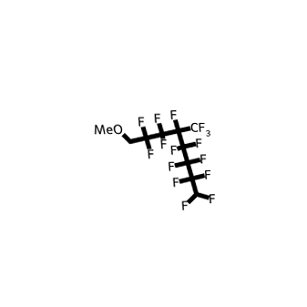 COCC(F)(F)C(F)(F)C(F)(C(F)(F)F)C(F)(F)C(F)(F)C(F)(F)C(F)F